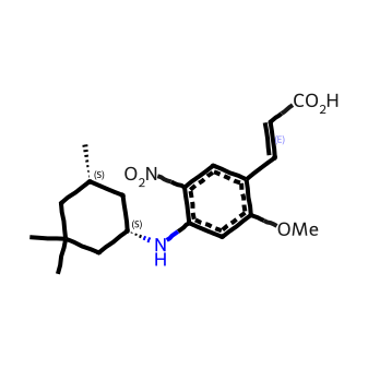 COc1cc(N[C@H]2C[C@@H](C)CC(C)(C)C2)c([N+](=O)[O-])cc1/C=C/C(=O)O